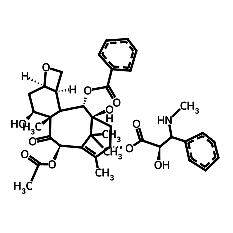 CNC(c1ccccc1)[C@@H](O)C(=O)O[C@H]1C[C@@]2(O)[C@@H](OC(=O)c3ccccc3)C3[C@@H]4CO[C@@H]4C[C@H](O)[C@@]3(C)C(=O)[C@H](OC(C)=O)C(=C1C)C2(C)C